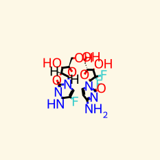 N=c1nc2n(cc1F)[C@@H]1O[C@H](CO)[C@@H](O)[C@@H]1O2.Nc1ccn([C@@H]2O[C@H](CO)[C@@H](O)C2(F)F)c(=O)n1